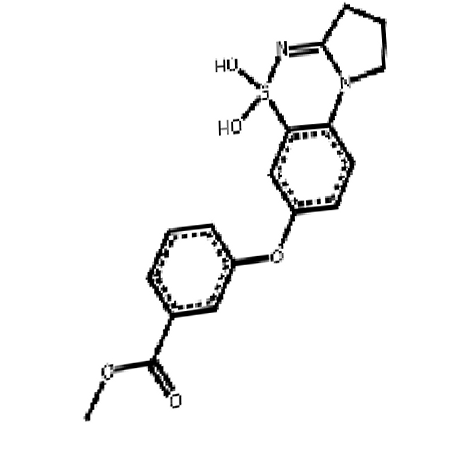 COC(=O)c1cccc(Oc2ccc3c(c2)S(O)(O)N=C2CCCN23)c1